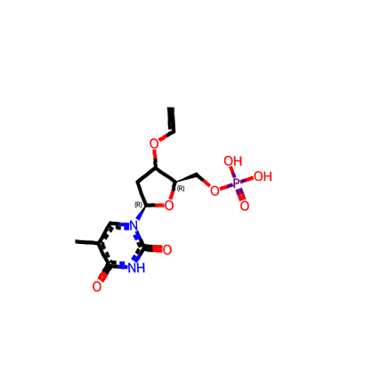 C=COC1C[C@H](n2cc(C)c(=O)[nH]c2=O)O[C@@H]1COP(=O)(O)O